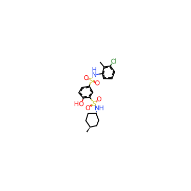 Cc1c(Cl)cccc1NS(=O)(=O)c1ccc(O)c(S(=O)(=O)N[C@H]2CC[C@H](C)CC2)c1